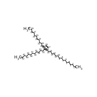 CCCCCCCCCCCCCCCCn1cc[n+](CCCCCCCCCCC)c1CCCCCCCCCCCC